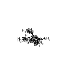 CCCCc1ccc(-c2ccc(C(=O)NC(CCCCNC(=O)OC(C)(C)C)C(=O)N[C@@H](CCCCNC(=O)OC(C)(C)C)C(=O)N[C@@H](C)C(=O)N[C@@H](CC(C)C)C(=O)N[C@@H](C)C(O)C(N)=O)cc2)cc1